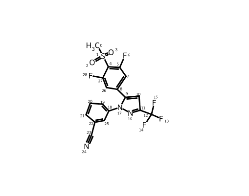 CS(=O)(=O)c1c(F)cc(-c2cc(C(F)(F)F)nn2-c2cccc(C#N)c2)cc1F